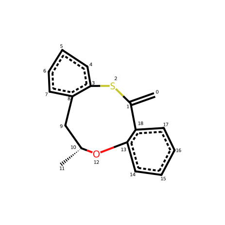 C=C1Sc2ccccc2C[C@@H](C)Oc2ccccc21